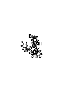 Cc1ccc(N(C)C(=O)CNC(=O)c2ccccc2OCC(=O)Nc2ccc(Br)cc2)cc1